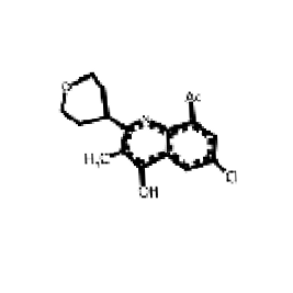 CC(=O)c1cc(Cl)cc2c(O)c(C)c(C3CCOCC3)nc12